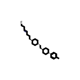 Cc1ccc([C@H]2CC[C@H](CC[C@H]3CC[C@H](CCC/C=C/CCF)CC3)CC2)cc1